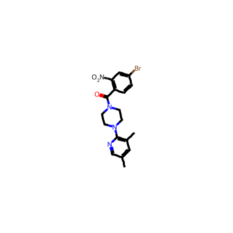 Cc1cnc(N2CCN(C(=O)c3ccc(Br)cc3[N+](=O)[O-])CC2)c(C)c1